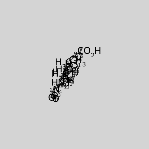 CC1(C)C(c2ccc(C(=O)O)cc2)=CC[C@]2(C)[C@H]3CC[C@@H]4[C@H]5CCC[C@]5(NCCN5CCS(=O)(=O)CC5)CC[C@@]4(C)[C@]3(C)CC[C@@H]12